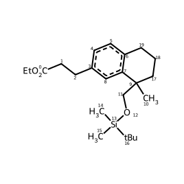 CCOC(=O)CCc1ccc2c(c1)C(C)(CO[Si](C)(C)C(C)(C)C)CCC2